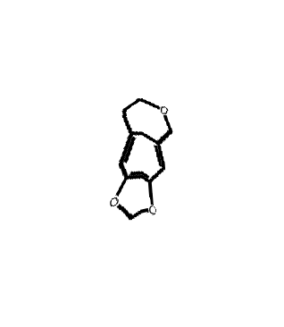 c1c2c(cc3c1OCO3)COCC2